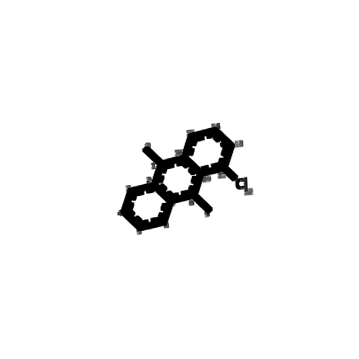 Cc1c2ccccc2c(C)c2c(Cl)cccc12